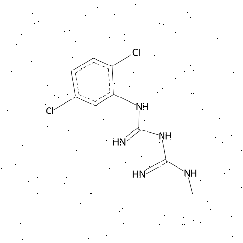 CNC(=N)NC(=N)Nc1cc(Cl)ccc1Cl